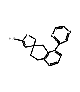 NC1=NC2(CCc3cccc(-c4cnccn4)c3C2)CO1